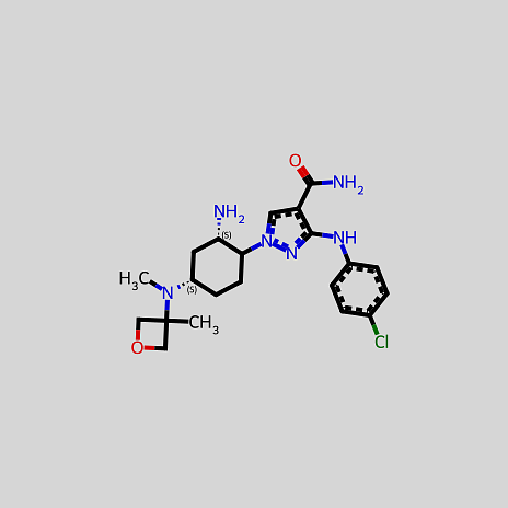 CN([C@H]1CCC(n2cc(C(N)=O)c(Nc3ccc(Cl)cc3)n2)[C@@H](N)C1)C1(C)COC1